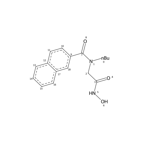 CCCCN(CC(=O)NO)C(=O)c1ccc2ccccc2c1